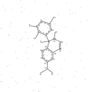 Cc1cc(C)c(C)c(C2(C)c3ccc(C(C)C)cc3N=CN2C)c1